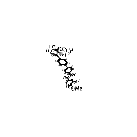 COc1ncc(C(=O)Nc2ccc([C@H]3CC[C@H](C(=O)NC(C)(C)C(=O)O)CC3)cc2)cc1Cl